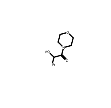 CC(C)C(O)C(=O)N1CCOCC1